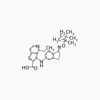 CCc1nccc2sc(C(=O)O)c(Nc3ccc4c(c3)CCC4=NO[Si](C)(C)C(C)(C)C)c12